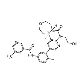 Cc1ccc(NC(=O)c2cncc(C(F)(F)F)c2)cc1-c1cnc2c(c1)[C@@]1(C)CCOCC[C@@H]1C(=O)N2CCO